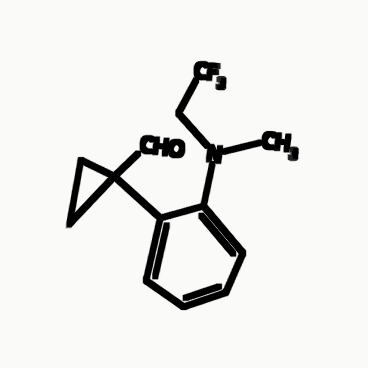 CN(CC(F)(F)F)c1ccccc1C1(C=O)CC1